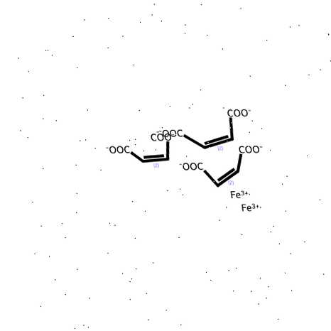 O=C([O-])/C=C\C(=O)[O-].O=C([O-])/C=C\C(=O)[O-].O=C([O-])/C=C\C(=O)[O-].[Fe+3].[Fe+3]